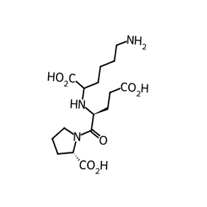 NCCCCC(N[C@@H](CCC(=O)O)C(=O)N1CCC[C@H]1C(=O)O)C(=O)O